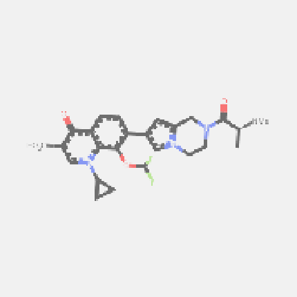 CN[C@@H](C)C(=O)N1CCn2cc(-c3ccc4c(=O)c(C(=O)O)cn(C5CC5)c4c3OC(F)F)cc2C1